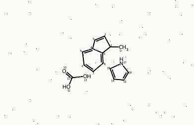 CC1C=Cc2ccccc21.O=C(O)O.c1cc[nH]c1